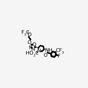 O=C(N[C@H]1CC[C@H](c2nnc(OCCOC(F)(F)F)o2)N(C(=O)O)C1)c1ccc(F)c(C(F)(F)F)c1